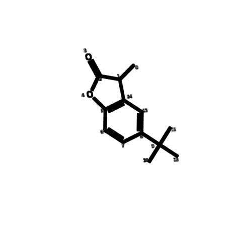 CC1C(=O)Oc2ccc(C(C)(C)C)cc21